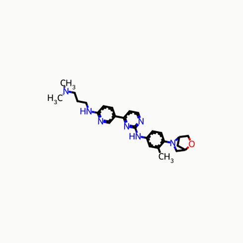 Cc1cc(Nc2nccc(-c3ccc(NCCCN(C)C)nc3)n2)ccc1N1CC2CC1CO2